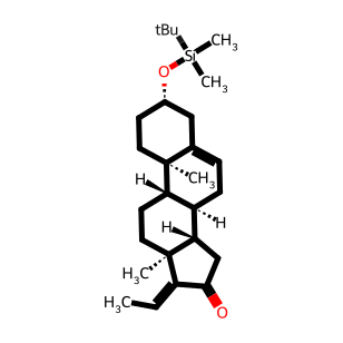 C/C=C1/C(=O)C[C@H]2[C@@H]3CC=C4C[C@@H](O[Si](C)(C)C(C)(C)C)CC[C@]4(C)[C@H]3CC[C@]12C